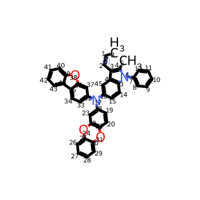 C/C=C\c1c(C)n(-c2ccccc2)c2ccc(N(c3ccc4c(c3)Oc3ccccc3O4)c3ccc4c(c3)oc3ccccc34)cc12